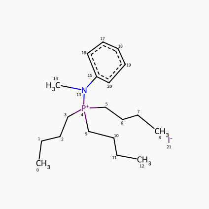 CCCC[P+](CCCC)(CCCC)N(C)c1ccccc1.[I-]